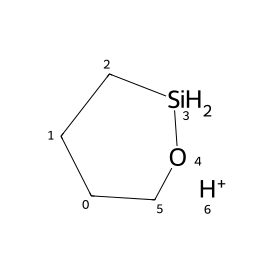 C1CC[SiH2]OC1.[H+]